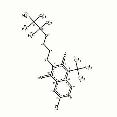 CC(C)(C)n1c(=O)n(CCCO[Si](C)(C)C(C)(C)C)c(=O)c2cc(Cl)ncc21